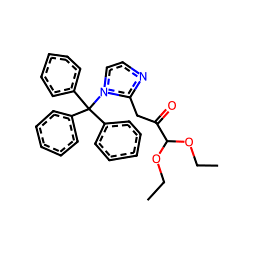 CCOC(OCC)C(=O)Cc1nccn1C(c1ccccc1)(c1ccccc1)c1ccccc1